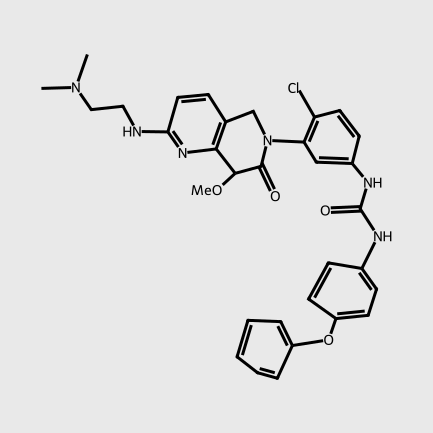 COC1C(=O)N(c2cc(NC(=O)Nc3ccc(Oc4ccccc4)cc3)ccc2Cl)Cc2ccc(NCCN(C)C)nc21